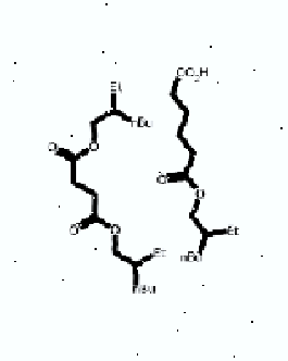 CCCCC(CC)COC(=O)CCC(=O)OCC(CC)CCCC.CCCCC(CC)COC(=O)CCCCC(=O)O